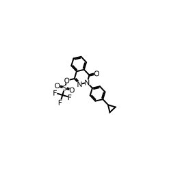 O=c1c2ccccc2c(OS(=O)(=O)C(F)(F)F)nn1-c1ccc(C2CC2)cc1